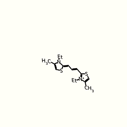 CCN1C(C)=CS/C1=C\C=C\c1scc(C)[n+]1CC